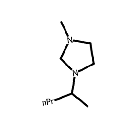 CCCC(C)N1CCN(C)C1